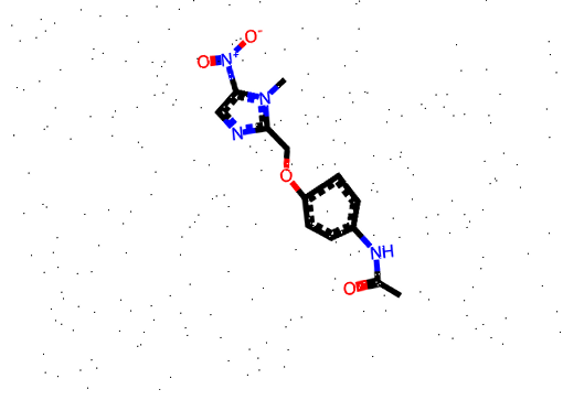 CC(=O)Nc1ccc(OCc2ncc([N+](=O)[O-])n2C)cc1